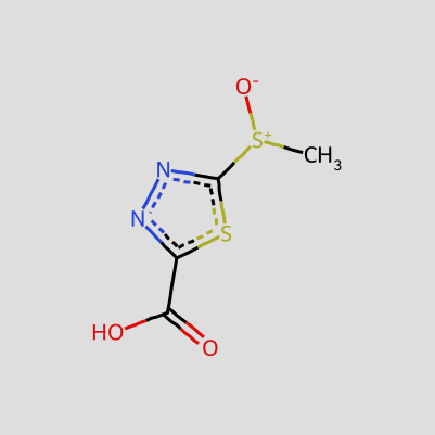 C[S+]([O-])c1nnc(C(=O)O)s1